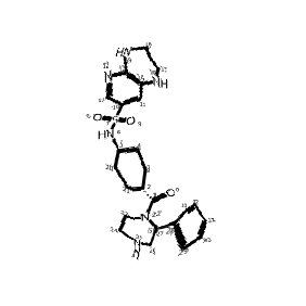 O=C([C@H]1CC[C@H](NS(=O)(=O)c2cnc3c(c2)NCCN3)CC1)N1CCNC[C@@H]1c1ccccc1